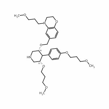 COCCCOc1ccc(C2[C@@H](OCc3ccc4c(c3)N(CCCOC)CCO4)CNC[C@H]2OCCCOC)cc1